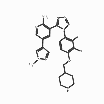 Cn1cc(-c2cnc(N)c(-c3nnnn3-c3ccc(OCC4CCNCC4)c(F)c3F)c2)cn1